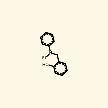 CCN(Cc1ccccc1O)c1ccccc1